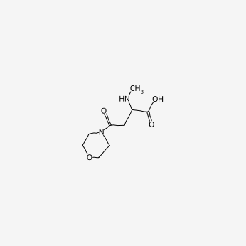 CNC(CC(=O)N1CCOCC1)C(=O)O